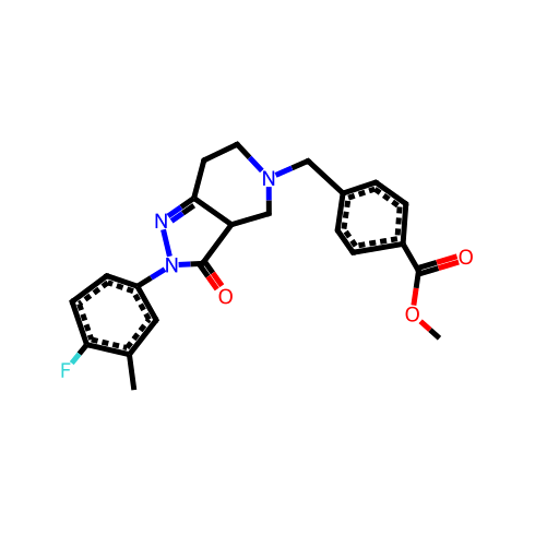 COC(=O)c1ccc(CN2CCC3=NN(c4ccc(F)c(C)c4)C(=O)C3C2)cc1